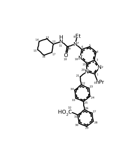 CCCc1nc2ccc(N(CC)C(=O)NC3CCCCC3)nc2n1Cc1ccc(-c2ccccc2C(=O)O)cc1